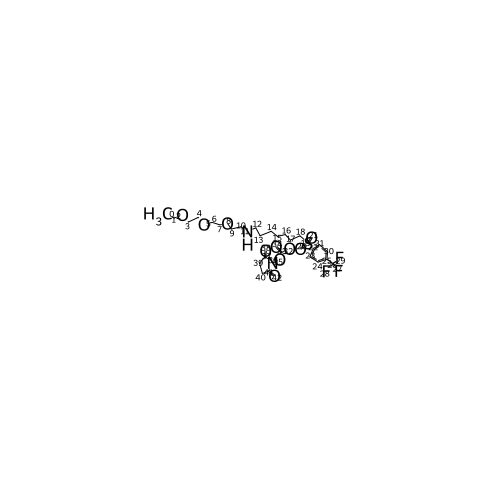 CCOCCOCCOCCNCCCCCC(CS(=O)(=O)c1ccc(C(F)(F)F)cc1)OC(=O)ON1C(=O)CCC1=O